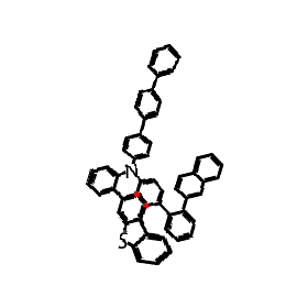 c1ccc(-c2ccc(-c3ccc(N(c4ccc(-c5ccccc5-c5ccc6ccccc6c5)cc4)c4ccccc4-c4ccc5c(c4)sc4ccccc45)cc3)cc2)cc1